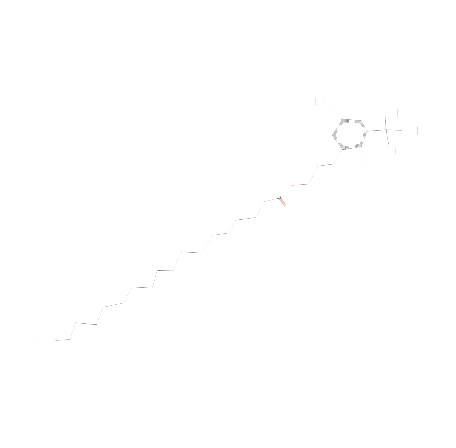 CCCCCCCCCCCCCCCCCC(=O)OCCCc1cc(C)cc(C(C)(C)C)c1O